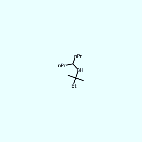 CCCC(BC(C)(C)CC)CCC